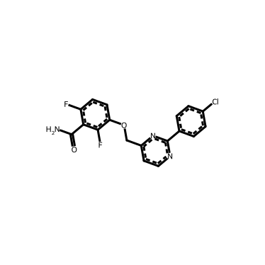 NC(=O)c1c(F)ccc(OCc2ccnc(-c3ccc(Cl)cc3)n2)c1F